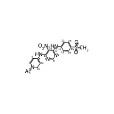 CC(=O)N1C=CC(Nc2ncnc(Nc3ccc(S(C)(=O)=O)cc3)c2[N+](=O)[O-])=CC1